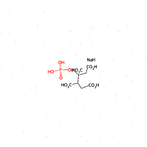 O=C(O)CC(C(=O)O)C(CC(=O)O)C(=O)O.O=P(O)(O)O.[NaH]